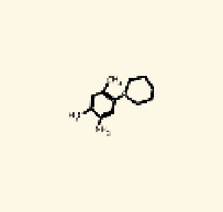 Cc1cc(C)c(N2CCCCC2)cc1N